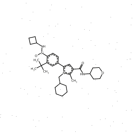 Cc1c(C(=O)NC2CCOCC2)cc(-c2ccc([S+]([O-])NC3CCC3)c(C(C)(C)C)c2)n1CC1CCCCC1